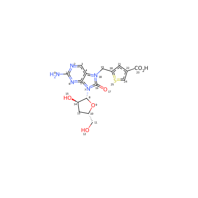 Nc1ncc2c(n1)n([C@@H]1O[C@H](CO)C[C@H]1O)c(=O)n2Cc1cc(C(=O)O)cs1